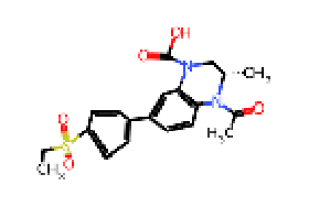 CCS(=O)(=O)c1ccc(-c2ccc3c(c2)N(C(=O)O)C[C@H](C)N3C(C)=O)cc1